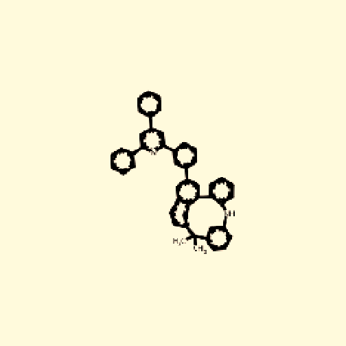 CC1(C)c2cccc(c2)Nc2ccccc2-c2cc(-c3cccc(-c4cc(-c5ccccc5)cc(-c5ccccc5)n4)c3)cc3ccc1cc23